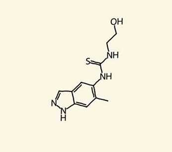 Cc1cc2[nH]ncc2cc1NC(=S)NCCO